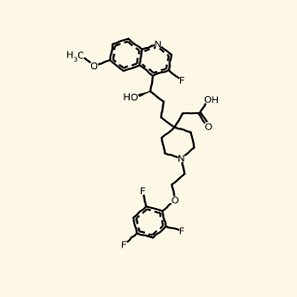 COc1ccc2ncc(F)c([C@H](O)CCC3(CC(=O)O)CCN(CCOc4c(F)cc(F)cc4F)CC3)c2c1